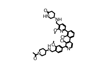 COc1cc(-c2nccc(-c3cccc(-c4ccc(CN[C@H]5CCC(=O)NC5)c(OC)n4)c3Cl)c2Cl)ccc1CNC1CCN(C(C)=O)CC1